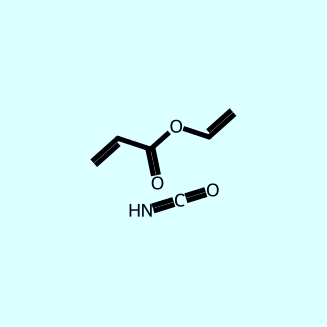 C=COC(=O)C=C.N=C=O